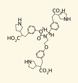 [2H]C([2H])(c1cccc(CC(C(=O)O)C2CCNC2)c1)N(CCOc1cccc(CC(C(=O)O)C2CCNC2)c1)C(=O)Oc1cccc(CC(C(=O)O)C2CCNC2)c1